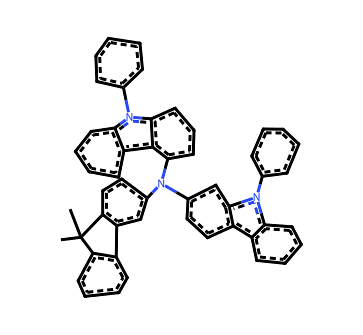 CC1(C)c2ccccc2-c2cc(N(c3ccc4c5ccccc5n(-c5ccccc5)c4c3)c3cccc4c3c3ccccc3n4-c3ccccc3)ccc21